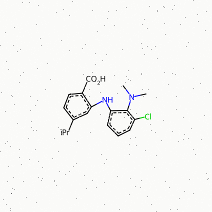 CC(C)c1ccc(C(=O)O)c(Nc2cccc(Cl)c2N(C)C)c1